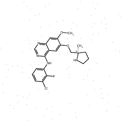 COc1cc2ncnc(Nc3cccc(Cl)c3F)c2cc1OC[C@@]1(C)CCCN1